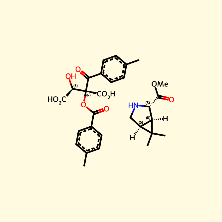 COC(=O)[C@H]1NC[C@H]2[C@@H]1C2(C)C.Cc1ccc(C(=O)O[C@@](C(=O)O)(C(=O)c2ccc(C)cc2)[C@H](O)C(=O)O)cc1